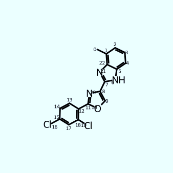 Cc1cccc2[nH]c(-c3coc(-c4ccc(Cl)cc4Cl)n3)nc12